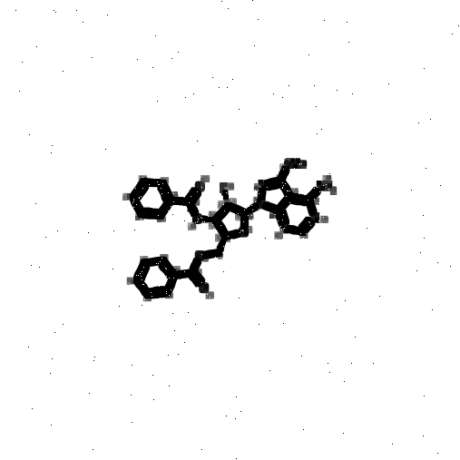 CSc1nn([C@H]2O[C@@H](COC(=O)c3ccccc3)[C@@H](OC(=O)c3ccccc3)[C@@H]2F)c2ncnc(N)c12